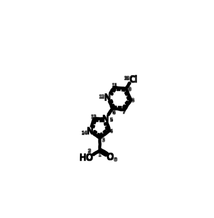 O=C(O)c1cn(-c2ccc(Cl)cn2)cn1